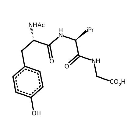 CC(=O)N[C@@H](Cc1ccc(O)cc1)C(=O)N[C@H](C(=O)NCC(=O)O)C(C)C